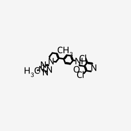 CC1=C(c2ccc(NC(=O)c3c(Cl)cncc3Cl)cc2)CN(c2nnn(C)n2)CC1